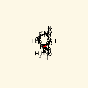 Nc1nc2c(ncn2[C@@H]2O[C@@H]3COP(=O)(S)OCC(F)(F)Cn4nc(-c5cncs5)nc4COP(=O)(S)O[C@@H]2[C@@H]3F)c(=O)[nH]1